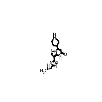 CNCc1noc(-c2cnn3c(C4CCNCC4)cc(=O)[nH]c23)n1